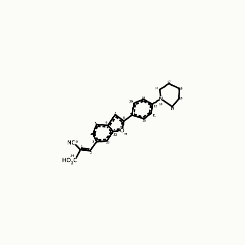 N#C/C(=C\c1ccc2cc(-c3ccc(N4CCCCC4)cc3)oc2c1)C(=O)O